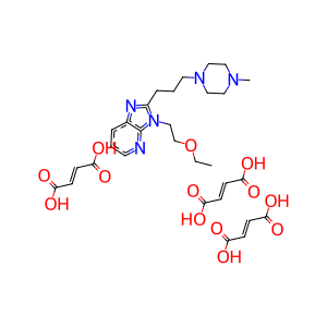 CCOCCn1c(CCCN2CCN(C)CC2)nc2cccnc21.O=C(O)C=CC(=O)O.O=C(O)C=CC(=O)O.O=C(O)C=CC(=O)O